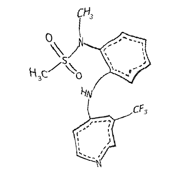 CN(c1ccccc1Nc1ccncc1C(F)(F)F)S(C)(=O)=O